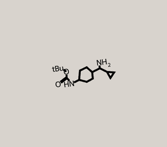 CC(C)(C)OC(=O)NC1CCC(C(N)C2CC2)CC1